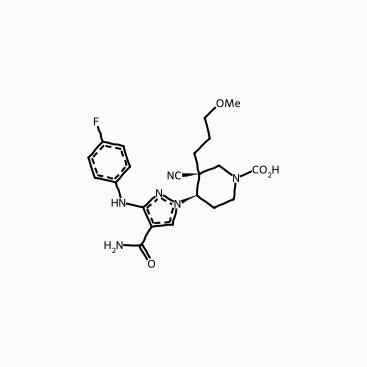 COCCC[C@]1(C#N)CN(C(=O)O)CC[C@H]1n1cc(C(N)=O)c(Nc2ccc(F)cc2)n1